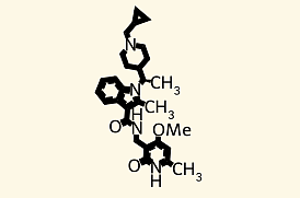 COc1cc(C)[nH]c(=O)c1CNC(=O)c1c(C)n([C@H](C)C2CCN(CC3CC3)CC2)c2ccccc12